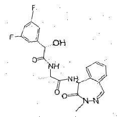 C[C@H](NC(=O)[C@@H](O)c1cc(F)cc(F)c1)C(=O)N[C@@H]1C(=O)N(C)N=Cc2ccccc21